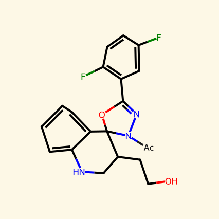 CC(=O)N1N=C(c2cc(F)ccc2F)OC12c1ccccc1NCC2CCO